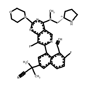 C#Cc1c(F)ccc2cc(C(C)(C)C#N)cc(-c3ncc4c(N(C)C[C@@H]5CCCN5)nc(N5CCOCC5)nc4c3F)c12